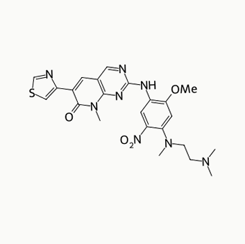 COc1cc(N(C)CCN(C)C)c([N+](=O)[O-])cc1Nc1ncc2cc(-c3cscn3)c(=O)n(C)c2n1